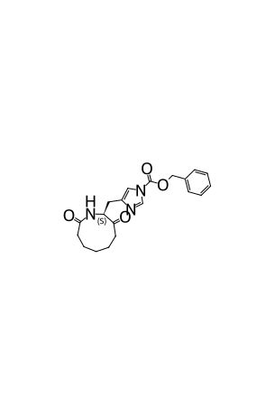 O=C1CCCCCC(=O)[C@H](Cc2cn(C(=O)OCc3ccccc3)cn2)N1